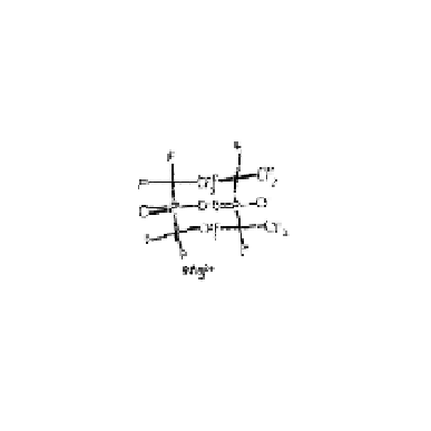 O=P([O-])(C(F)(F)C(F)(F)F)C(F)(F)C(F)(F)F.O=P([O-])(C(F)(F)C(F)(F)F)C(F)(F)C(F)(F)F.[Mg+2]